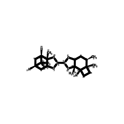 C[C@H]1CC2OB(B3OC4C[C@@H]5C[C@@H](C5(C)C)[C@]4(C)O3)O[C@@]2(C)[C@H]2CC[C@@]12C